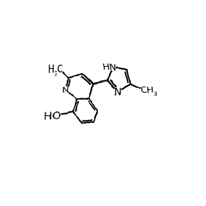 Cc1c[nH]c(-c2cc(C)nc3c(O)cccc23)n1